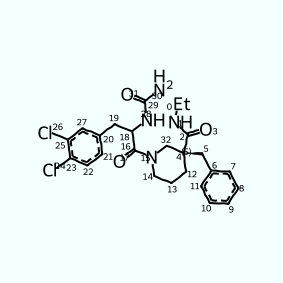 CCNC(=O)[C@]1(Cc2ccccc2)CCCN(C(=O)C(Cc2ccc(Cl)c(Cl)c2)NC(N)=O)C1